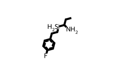 CCC(N)[SiH2]CCc1ccc(F)cc1